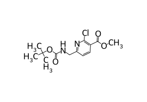 COC(=O)c1ccc(CNC(=O)OC(C)(C)C)nc1Cl